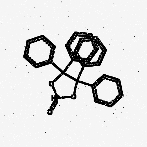 O=[PH]1OC(c2ccccc2)(c2ccccc2)C(c2ccccc2)(c2ccccc2)O1